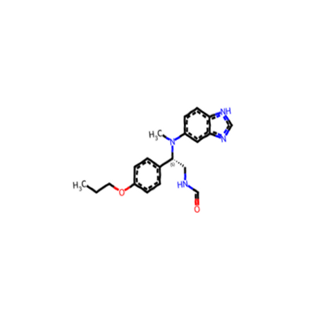 CCCOc1ccc([C@@H](CNC=O)N(C)c2ccc3[nH]cnc3c2)cc1